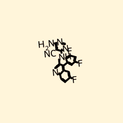 N#Cc1c(N)ncnc1NCc1cnc2ccc(F)cc2c1-c1cc(F)cc(F)c1